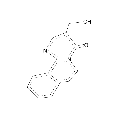 O=c1c(CO)cnc2c3ccccc3ccn12